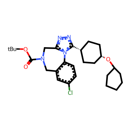 CC(C)(C)OC(=O)N1Cc2cc(Cl)ccc2-n2c(nnc2[C@H]2CC[C@@H](OC3CCCCC3)CC2)C1